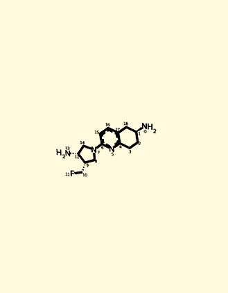 N[C@H]1CCc2nc(N3C[C@H](CF)[C@H](N)C3)ccc2C1